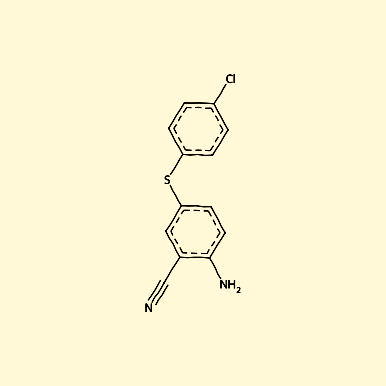 N#Cc1cc(Sc2ccc(Cl)cc2)ccc1N